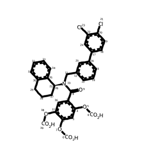 O=C(O)Oc1cc(OC(=O)O)c(C(=O)N(Cc2cccc(-c3ccc(Cl)c(Cl)c3)c2)[C@H]2CCCc3ccccc32)cc1OC(=O)O